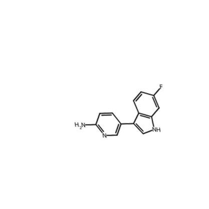 Nc1ccc(-c2c[nH]c3cc(F)ccc23)cn1